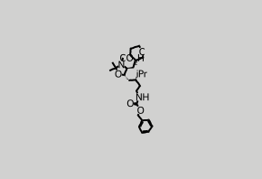 CC(C)[C@H](CCNC(=O)OCc1ccccc1)C[C@@H]1OC(C)(C)N(C(=O)O)[C@H]1CC1CCCCC1